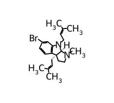 CC(C)=CCN1c2cc(Br)ccc2[C@]2(CC=C(C)C)CCN(C)[C@H]12